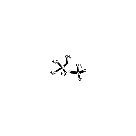 CC[N+](C)(C)C.CS(=O)(=O)[O-]